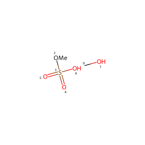 CO.COS(=O)(=O)O